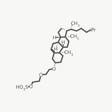 CC(C)CCC[C@@H](C)[C@H]1CC[C@H]2[C@@H]3CC=C4C[C@@H](OCCOCCOS(=O)(=O)O)CC[C@]4(C)[C@H]3CC[C@]12C